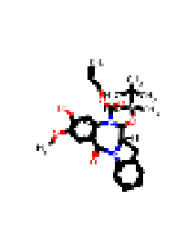 C=CCOC(=O)N1c2cc(O)c(OC)cc2C(=O)N2c3ccccc3C[C@H]2C1O[Si](C)(C)C(C)(C)C